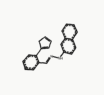 C1=CCC(c2ccccc2C=NNc2ccc3ccccc3c2)=C1